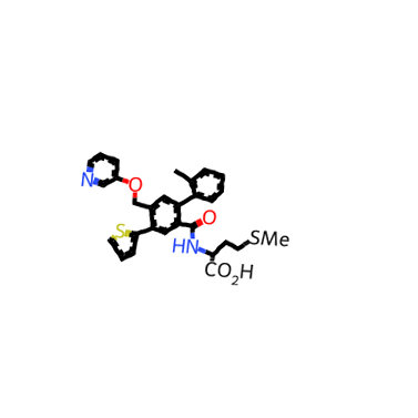 CSCCC(NC(=O)c1cc(-c2cccs2)c(COc2cccnc2)cc1-c1ccccc1C)C(=O)O